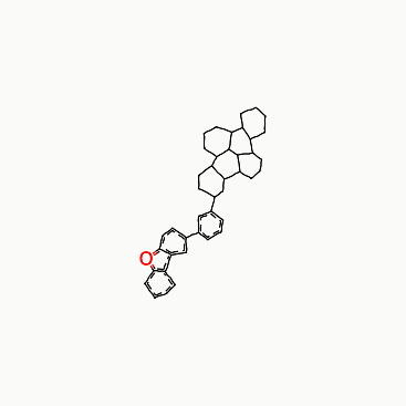 c1cc(-c2ccc3oc4ccccc4c3c2)cc(C2CCC3C(C2)C2CCCC4C5CCCCC5C5CCCC3C5C42)c1